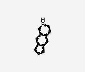 [c]1[pH]ccc2cc3cccc3cc12